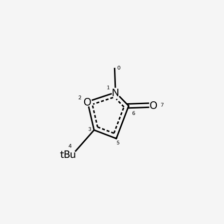 Cn1oc(C(C)(C)C)cc1=O